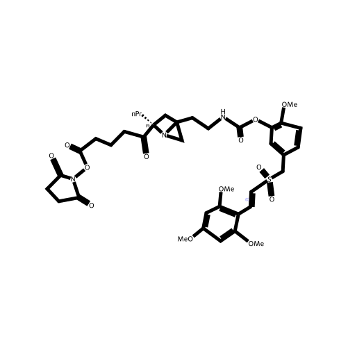 CCC[C@]1(C(=O)CCCC(=O)ON2C(=O)CCC2=O)CC2(CCNC(=O)Oc3cc(CS(=O)(=O)/C=C/c4c(OC)cc(OC)cc4OC)ccc3OC)CN21